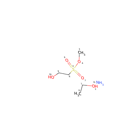 CCO.COS(=O)(=O)CCO.N